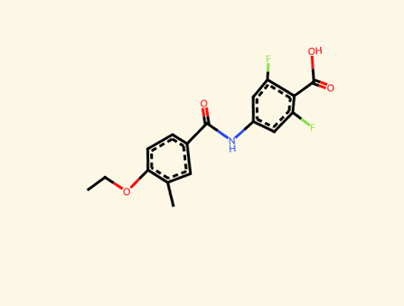 CCOc1ccc(C(=O)Nc2cc(F)c(C(=O)O)c(F)c2)cc1C